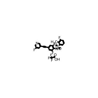 Cc1c(F)cccc1S(=O)(=O)Nc1c(F)cc(C#Cc2cncc(F)c2)cc1F.O=C(O)C(F)(F)F